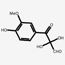 COc1cc(C(=O)C(O)(O)C=O)ccc1O